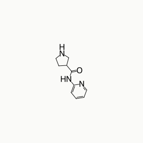 O=C(Nc1ccccn1)C1CCNC1